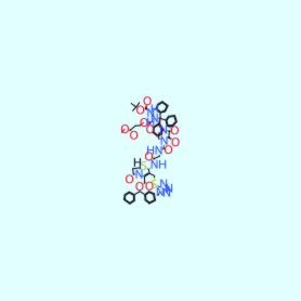 CC[N+]1(c2ccccc2C(NC(=O)OCCC(=O)OC)(c2ccccc2)c2ccccc2NC(=O)OC(C)(C)C)CCN(C(=O)NCC(=O)N[C@H]2S[C@H]3CC(=O)N3C(C(=O)OC(c3ccccc3)c3ccccc3)=C2CSc2nnnn2C)C(=O)C1=O